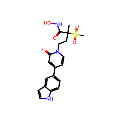 CC(CCn1ccc(-c2ccc3[nH]ccc3c2)cc1=O)(C(=O)NO)S(C)(=O)=O